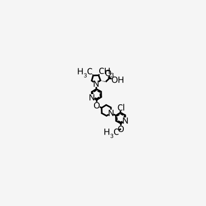 COc1cc(N2CCC(Oc3ccc(N4C[C@H](C)[C@@H](C)[C@@H]4CC(=O)O)cn3)CC2)c(Cl)cn1